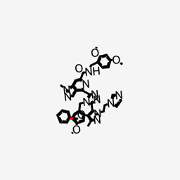 COc1ccc(Cn2c(-c3nc(C(=O)NCc4ccc(OC)cc4OC)cc4c3cnn4C)nnc2-c2c(OCc3ccccc3)c(C)nn2CCn2ccnc2)cc1